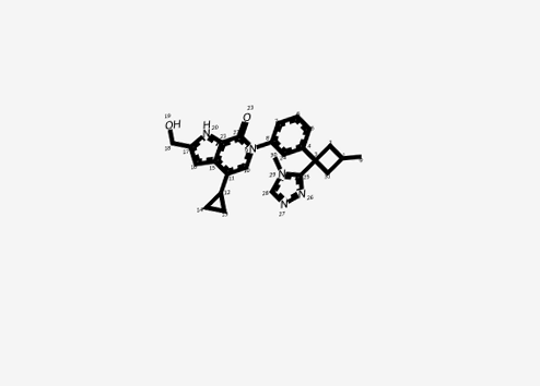 CC1CC(c2cccc(-n3cc(C4CC4)c4cc(CO)[nH]c4c3=O)c2)(c2nncn2C)C1